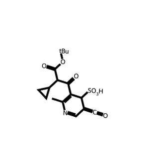 CC1=C(C(=O)C(C(=O)OC(C)(C)C)C2CC2)C(S(=O)(=O)O)C(=C=O)C=N1